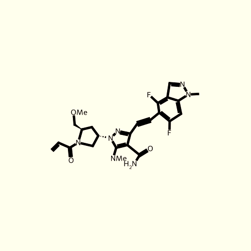 C=CC(=O)N1C[C@@H](n2nc(C#Cc3c(F)cc4c(cnn4C)c3F)c(C(N)=O)c2NC)C[C@@H]1COC